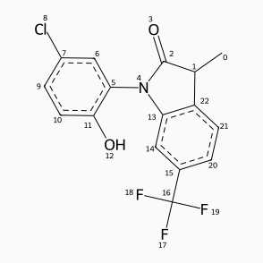 CC1C(=O)N(c2cc(Cl)ccc2O)c2cc(C(F)(F)F)ccc21